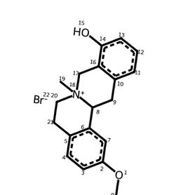 COc1ccc2c(c1)C1Cc3cccc(O)c3C[N+]1(C)CC2.[Br-]